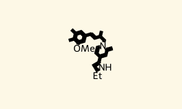 C=C1C=C(C2=C[C@@H](CC)N2)C=CN1CC(C)/C=C/c1cc(C)c(C)c(OC)c1